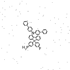 Fc1ccc(C2(c3ccc(P)cc3)c3ccccc3-c3c(N(c4ccc(-c5ccccc5)cc4)c4ccc(-c5ccccc5)cc4)cccc32)cc1